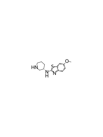 COc1ccc2nc(N[C@H]3CCCNC3)sc2c1